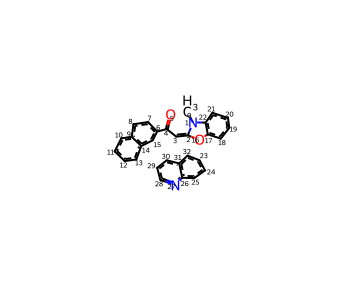 CN1C(=CC(=O)c2ccc3ccccc3c2)Oc2ccccc21.c1ccc2ncccc2c1